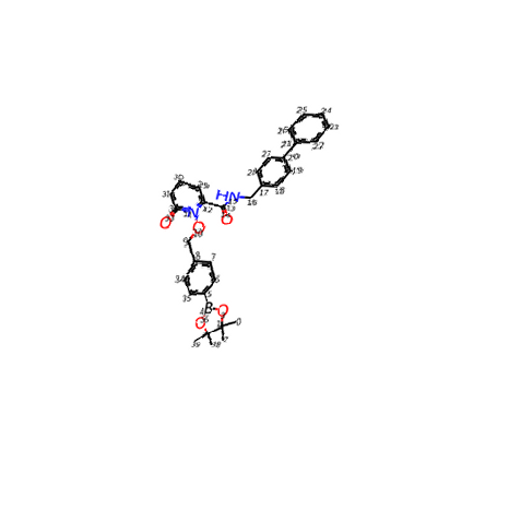 CC1(C)OB(c2ccc(COn3c(C(=O)NCc4ccc(-c5ccccc5)cc4)cccc3=O)cc2)OC1(C)C